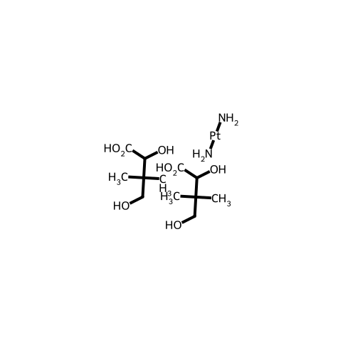 CC(C)(CO)C(O)C(=O)O.CC(C)(CO)C(O)C(=O)O.[NH2][Pt][NH2]